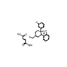 O=C(O)C=CC(=O)O.OC1(c2cccc(F)c2)CCN(CI)CC1c1ccccc1F